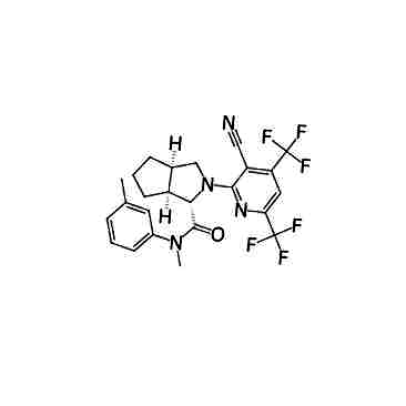 Cc1cccc(N(C)C(=O)[C@@H]2[C@H]3CCC[C@H]3CN2c2nc(C(F)(F)F)cc(C(F)(F)F)c2C#N)c1